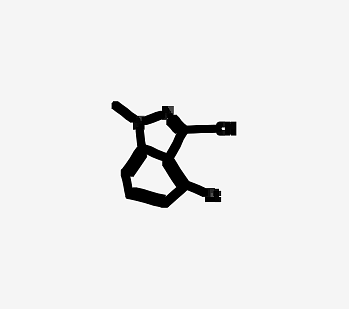 CCc1cccc2c1c(C#N)nn2C